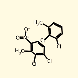 Cc1c([N+](=O)[O-])ccc(Cl)c1Cl.Cc1cccc(Cl)c1Cl